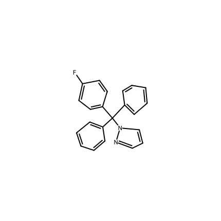 Fc1ccc(C(c2ccccc2)(c2ccccc2)n2cccn2)cc1